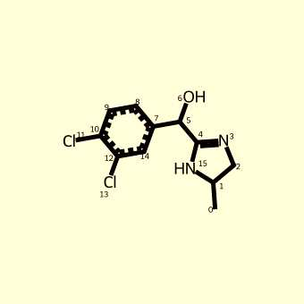 CC1CN=C(C(O)c2ccc(Cl)c(Cl)c2)N1